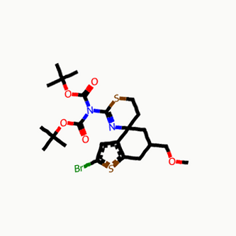 COCC1Cc2sc(Br)cc2C2(CCSC(N(C(=O)OC(C)(C)C)C(=O)OC(C)(C)C)=N2)C1